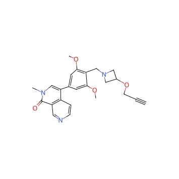 C#CCOC1CN(Cc2c(OC)cc(-c3cn(C)c(=O)c4cnccc34)cc2OC)C1